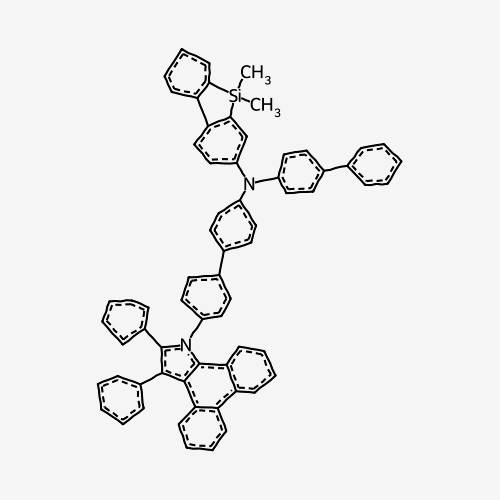 C[Si]1(C)c2ccccc2-c2ccc(N(c3ccc(-c4ccccc4)cc3)c3ccc(-c4ccc(-n5c(-c6ccccc6)c(-c6ccccc6)c6c7ccccc7c7ccccc7c65)cc4)cc3)cc21